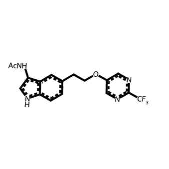 CC(=O)Nc1c[nH]c2ccc(CCOc3cnc(C(F)(F)F)nc3)cc12